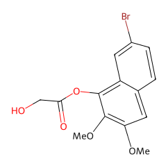 COc1cc2ccc(Br)cc2c(OC(=O)CO)c1OC